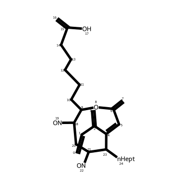 C=CC(=C)/C1=C\C(=C)OC(CCCCCC(=C)O)C(N=O)CC(N=O)C1CCCCCCC